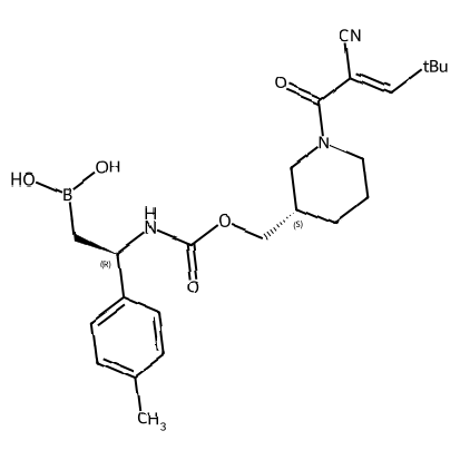 Cc1ccc([C@@H](CB(O)O)NC(=O)OC[C@H]2CCCN(C(=O)C(C#N)=CC(C)(C)C)C2)cc1